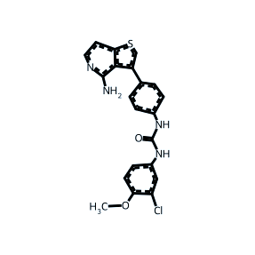 COc1ccc(NC(=O)Nc2ccc(-c3csc4ccnc(N)c34)cc2)cc1Cl